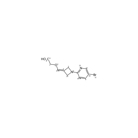 O=C(O)CON=C1CN(c2ncc(Br)cn2)C1